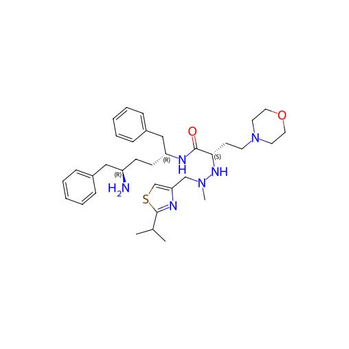 CC(C)c1nc(CN(C)N[C@@H](CCN2CCOCC2)C(=O)N[C@H](CC[C@@H](N)Cc2ccccc2)Cc2ccccc2)cs1